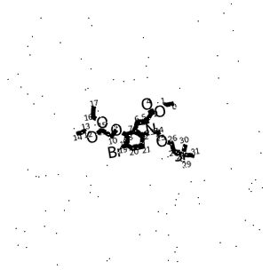 CCOC(=O)c1cc2c(OCC(OCC)OCC)c(Br)ccc2n1COCC[Si](C)(C)C